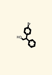 OCC(c1ccccc1)c1ccc(Br)cc1